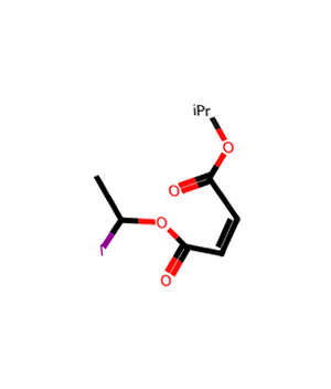 CC(C)OC(=O)/C=C\C(=O)OC(C)I